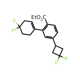 CCOC(=O)c1ccc(C2CC(F)(F)C2)cc1C1=CCC(F)(F)CC1